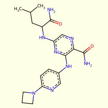 CC(C)CC(Nc1cnc(C(N)=O)c(Nc2ccc(N3CCC3)nc2)n1)C(N)=O